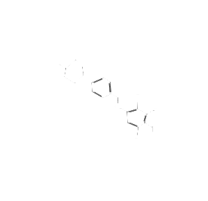 CC[C@H]1CC[C@H](c2ccc(COc3cc(F)c(F)c(F)c3F)cc2)CC1